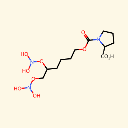 O=C(O)C1CCCN1C(=O)OCCCCC(CON(O)O)ON(O)O